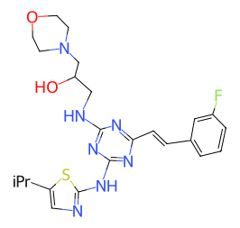 CC(C)c1cnc(Nc2nc(/C=C/c3cccc(F)c3)nc(NCC(O)CN3CCOCC3)n2)s1